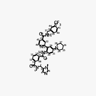 CN(Cc1cncn1C)C(=O)c1cccc(C(=O)Nc2ccc(N3CCCCC3)cc2-c2cc(C(=O)NCc3cccc(C(F)(F)F)c3)ccn2)c1